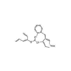 C=C/C=C1/Cc2ccccc2OP(O/C(C=C)=C/C=C)O/C1=C/C